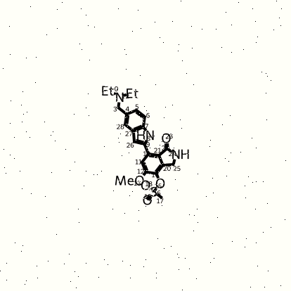 CCN(CC)Cc1ccc2[nH]c(-c3cc(OC)c(OS(C)(=O)=O)c4c3C(=O)NC4)cc2c1